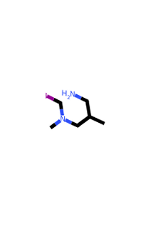 CC(CN)CN(C)CI